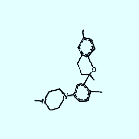 Cc1ccc2c(c1)CCC(C)(c1cc(N3CCN(C)CC3)ccc1C)O2